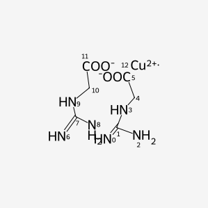 N=C(N)NCC(=O)[O-].N=C(N)NCC(=O)[O-].[Cu+2]